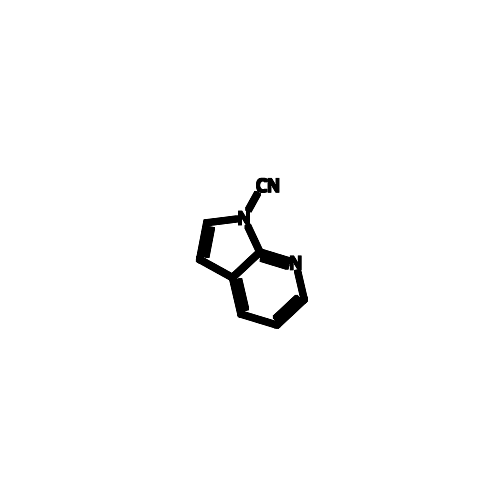 N#Cn1ccc2cccnc21